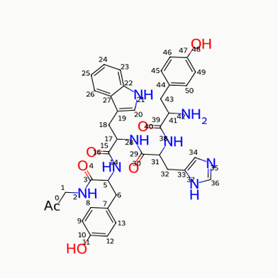 CC(=O)CNC(=O)C(Cc1ccc(O)cc1)NC(=O)C(Cc1c[nH]c2ccccc12)NC(=O)C(Cc1cnc[nH]1)NC(=O)C(N)Cc1ccc(O)cc1